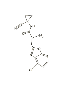 N#CC1(NC(=O)C(N)Cc2nc3c(Cl)cccc3o2)CC1